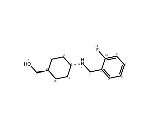 OC[C@H]1CC[C@H](NCc2ccccc2F)CC1